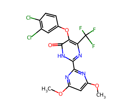 COc1cc(OC)nc(-c2nc(C(F)(F)F)c(Oc3ccc(Cl)c(Cl)c3)c(=O)[nH]2)n1